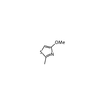 COc1csc(C)n1